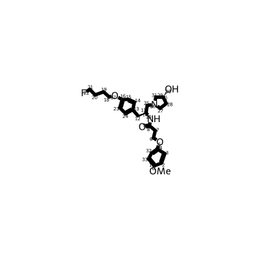 COc1ccc(OCCC(=O)N[C@@H](Cc2ccc(OCCCCF)cc2)CN2CC[C@@H](O)C2)cc1